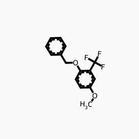 COc1ccc(OCc2ccccc2)c(C(F)(F)F)c1